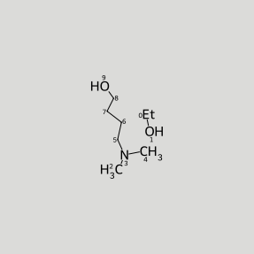 CCO.CN(C)CCCCO